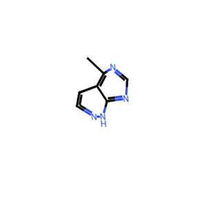 Cc1ncnc2c1C=C=NN2